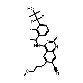 COCCOc1cc2c(NC(C)c3cccc(C(F)(F)C(C)(C)O)c3F)nc(C)nc2cc1C#N